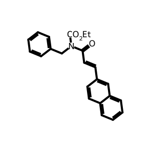 CCOC(=O)N(Cc1ccccc1)C(=O)/C=C/c1ccc2ccccc2c1